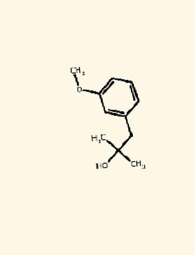 COc1cccc(CC(C)(C)O)c1